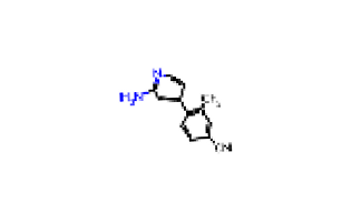 N#Cc1ccc(-c2ccnc(N)c2)c(C(F)(F)F)c1